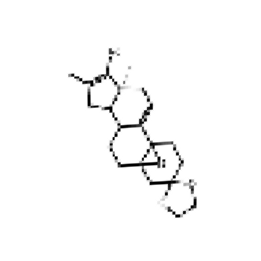 CC(=O)C1=C(C)CC2C3CCC45CC6(CCC4(O5)C3=CC[C@]12C)OCCO6